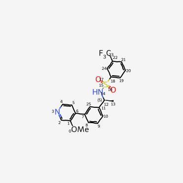 COc1cnccc1-c1cccc([C@H](C)NS(=O)(=O)c2cccc(C(F)(F)F)c2)c1